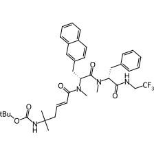 CN(C(=O)C=CCC(C)(C)NC(=O)OC(C)(C)C)[C@H](Cc1ccc2ccccc2c1)C(=O)N(C)[C@H](Cc1ccccc1)C(=O)NCC(F)(F)F